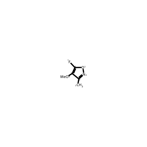 COc1c(C)noc1F